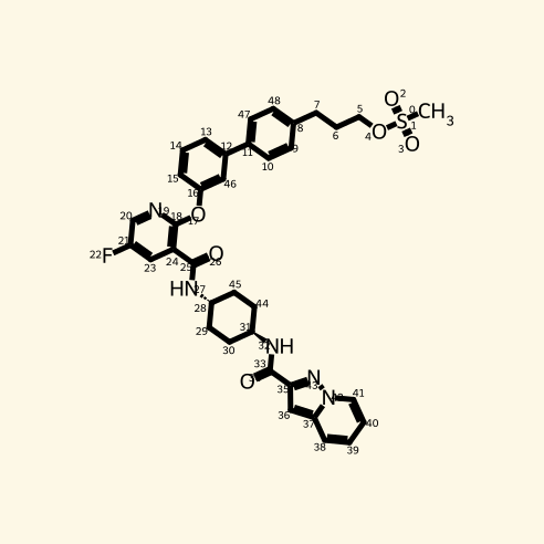 CS(=O)(=O)OCCCc1ccc(-c2cccc(Oc3ncc(F)cc3C(=O)N[C@H]3CC[C@H](NC(=O)c4cc5ccccn5n4)CC3)c2)cc1